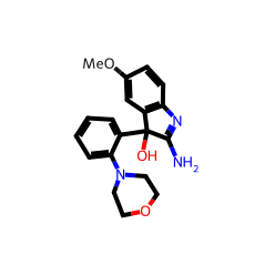 COc1ccc2c(c1)C(O)(c1ccccc1N1CCOCC1)C(N)=N2